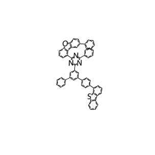 c1ccc(-c2cc(-c3ccc(-c4cccc5c4sc4ccccc45)cc3)cc(-c3nc(-c4ccccc4)nc(-c4cccc5oc6ccc(-c7ccccc7)cc6c45)n3)c2)cc1